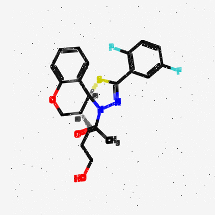 CC(=O)N1N=C(c2cc(F)ccc2F)S[C@]12c1ccccc1OC[C@H]2CCCO